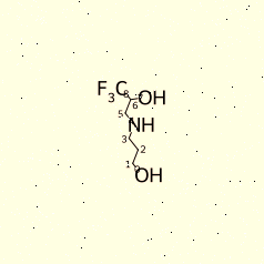 OCCCNCC(O)C(F)(F)F